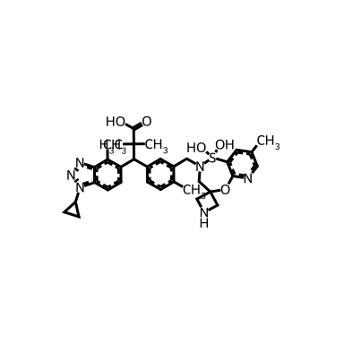 Cc1cnc2c(c1)S(O)(O)N(Cc1cc(C(c3ccc4c(nnn4C4CC4)c3C)C(C)(C)C(=O)O)ccc1C)CC1(CNC1)O2